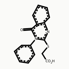 O=C(O)CSc1nc2ccccc2c(=O)n1-c1ccccc1